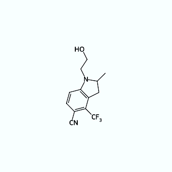 CC1Cc2c(ccc(C#N)c2C(F)(F)F)N1CCO